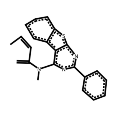 C=C(/C=C\C)N(C)c1nc(-c2ccccc2)nc2sc3ccccc3c12